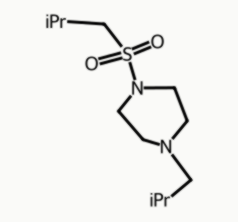 CC(C)CN1CCN(S(=O)(=O)CC(C)C)CC1